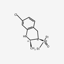 CC[SH](=O)(CC)[C@@H]1Cc2ccc(Cl)cc2N[C@@H]1C